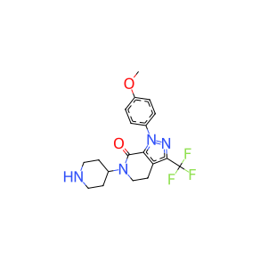 COc1ccc(-n2nc(C(F)(F)F)c3c2C(=O)N(C2CCNCC2)CC3)cc1